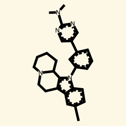 Cc1ccc2c(c1)c1c(n2-c2cccc(-c3cnc(N(C)C)nc3)c2)C2CCCCN2CC1